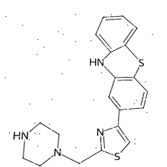 c1ccc2c(c1)Nc1cc(-c3csc(CN4CCNCC4)n3)ccc1S2